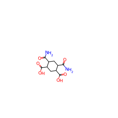 NC(=O)C1CC(C(N)=O)C(C(=O)O)CC1C(=O)O